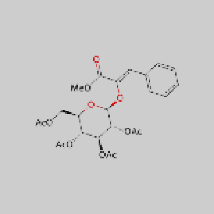 COC(=O)/C(=C/c1ccccc1)O[C@@H]1O[C@H](COC(C)=O)[C@@H](OC(C)=O)[C@H](OC(C)=O)[C@H]1OC(C)=O